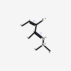 C/C=C(F)\C(C)=N\N(C)C